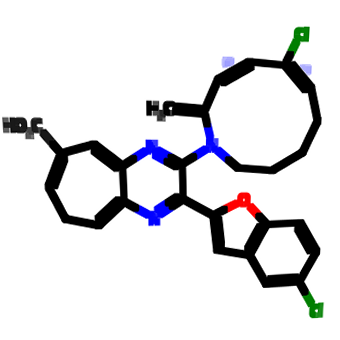 C=C1/C=C\C(Cl)=C/CCCCN1c1nc2c(nc1-c1cc3cc(Cl)ccc3o1)=CCC=C(C(=O)O)C=2